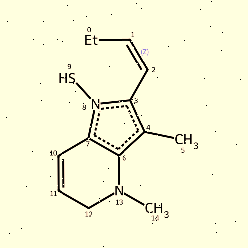 CC/C=C\c1c(C)c2c(n1S)C=CCN2C